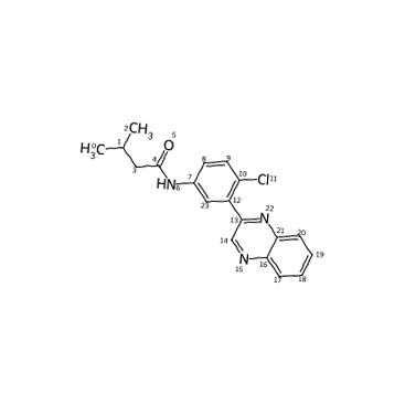 CC(C)CC(=O)Nc1ccc(Cl)c(-c2cnc3ccccc3n2)c1